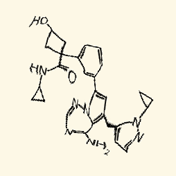 Nc1ncnn2c(-c3cccc(C4(C(=O)NC5CC5)CC(O)C4)c3)cc(-c3ccnn3C3CC3)c12